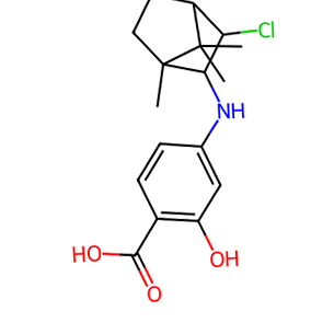 CC1(C)C2CCC1(C)C(Nc1ccc(C(=O)O)c(O)c1)C2Cl